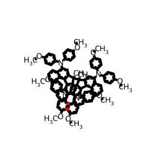 COc1ccc(N(c2ccc(OC)cc2)c2cc3c(c4ccccc24)-c2c(cc(N(c4ccc(OC)cc4)c4ccc(OC)cc4)c4ccccc24)C3(C)C2(C)c3cc(N(c4ccc(OC)cc4)c4ccc(OC)cc4)c4ccccc4c3-c3c2cc(N(c2ccc(OC)cc2)c2ccc(OC)cc2)c2ccccc32)cc1